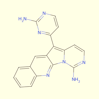 Nc1nccc(-c2c3cc4ccccc4nc3n3c(N)nccc23)n1